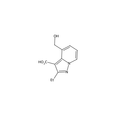 CCc1nn2cccc(CO)c2c1C(=O)O